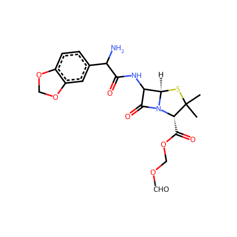 CC1(C)S[C@@H]2C(NC(=O)C(N)c3ccc4c(c3)OCO4)C(=O)N2[C@H]1C(=O)OCOC=O